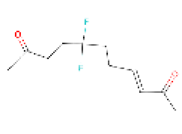 CC(=O)/C=C/CCC(F)(F)CCC(C)=O